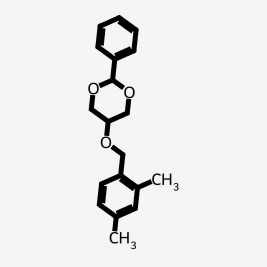 Cc1ccc(COC2COC(c3ccccc3)OC2)c(C)c1